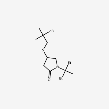 CCCCC(C)(C)CSC1CC(=O)N(C(C)(CC)CC)C1